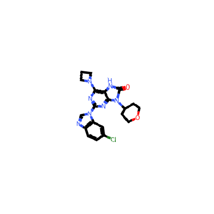 O=c1[nH]c2c(N3CCC3)nc(-n3cnc4ccc(Cl)cc43)nc2n1C1CCOCC1